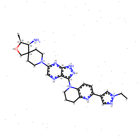 CCn1cc(-c2ccc3c(n2)CCCN3c2n[nH]c3nc(N4CCC5(CC4)CO[C@@H](C)[C@H]5N)cnc23)cn1